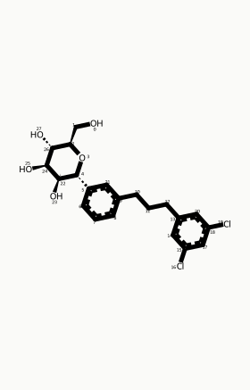 OC[C@H]1O[C@H](c2cccc(CCCc3cc(Cl)cc(Cl)c3)c2)[C@@H](O)[C@@H](O)[C@@H]1O